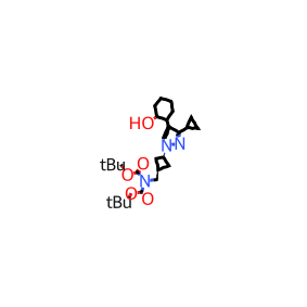 CC(C)(C)OC(=O)N(C[C@H]1C[C@H](n2cc(C3CCCCC3O)c(C3CC3)n2)C1)C(=O)OC(C)(C)C